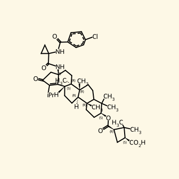 CC(C)C1=C2[C@H]3CC[C@@H]4[C@@]5(C)CC[C@H](OC(=O)[C@@H]6C[C@H](C(=O)O)C6(C)C)C(C)(C)C5CC[C@@]4(C)[C@]3(C)CC[C@@]2(NC(=O)C2(NC(=O)c3ccc(Cl)cc3)CC2)CC1=O